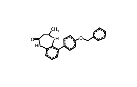 CC1CC(=O)Nc2cccc(-c3ccc(OCc4ccccc4)cc3)c2N1